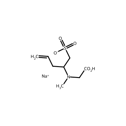 C=CCC(CS(=O)(=O)[O-])N(C)CC(=O)O.[Na+]